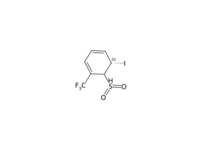 O=[SH](=O)C1C(C(F)(F)F)=CC=C[C@@H]1I